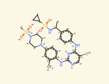 CC(NS(=O)(=O)C1CC1)c1ccc(Nc2nc(Nc3ccc(N4CCN(S(C)(=O)=O)CC4)cc3C(F)(F)F)ncc2Cl)cc1